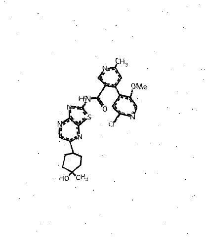 COc1cnc(Cl)cc1-c1cc(C)ncc1C(=O)Nc1nc2ncc(C3CCC(C)(O)CC3)nc2s1